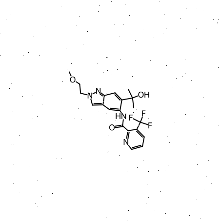 COCCn1cc2cc(NC(=O)c3ncccc3C(F)(F)F)c(C(C)(C)O)cc2n1